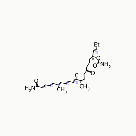 CC/C=C/[C@H](CCCC(=O)CC[C@H](C)/C(Cl)=C/C=C/C=C(C)/C=C/C=C/C(N)=O)OC(N)=O